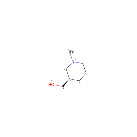 CC(C)N1CCC[C@@H](CO)C1